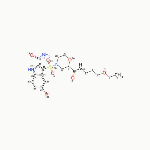 CCOCCC[AsH]C(=O)C1CN(S(=O)(=O)c2c(C(N)=O)[nH]c3ccc(Br)cc23)CCO1